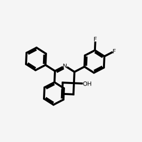 OC1(C(N=C(c2ccccc2)c2ccccc2)c2ccc(F)c(F)c2)CCC1